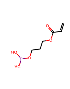 C=CC(=O)OCCCOP(O)O